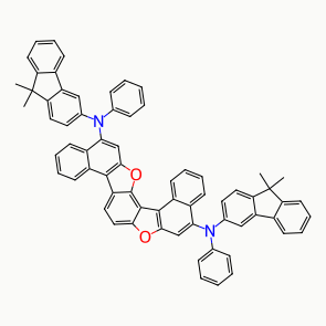 CC1(C)c2ccccc2-c2cc(N(c3ccccc3)c3cc4oc5c(ccc6oc7cc(N(c8ccccc8)c8ccc9c(c8)-c8ccccc8C9(C)C)c8ccccc8c7c65)c4c4ccccc34)ccc21